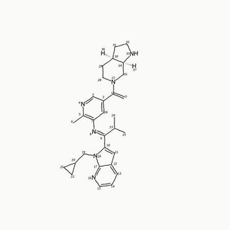 C=C(c1cnc(C)c(/N=C(/c2cc3cccnc3n2CC2CC2)C(C)C)c1)N1CC[C@H]2CCN[C@H]2C1